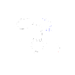 OCCCn1cnc(-c2ccccc2)c1-c1ccccc1